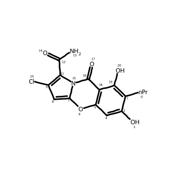 CCCc1c(O)cc2oc3cc(Cl)c(C(N)=O)n3c(=O)c2c1O